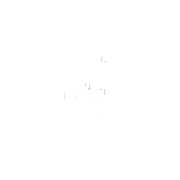 Cc1nc(-c2ccncc2)nc2c1sc1ccccc12